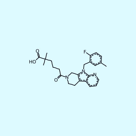 Cc1ccc(F)c(Cn2c3c(c4cccnc42)CCN(C(=O)CCCC(C)(C)C(=O)O)C3)c1